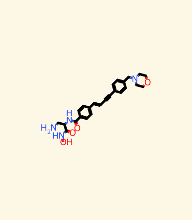 NCC(NC(=O)c1ccc(/C=C/C#Cc2ccc(CN3CCOCC3)cc2)cc1)C(=O)NO